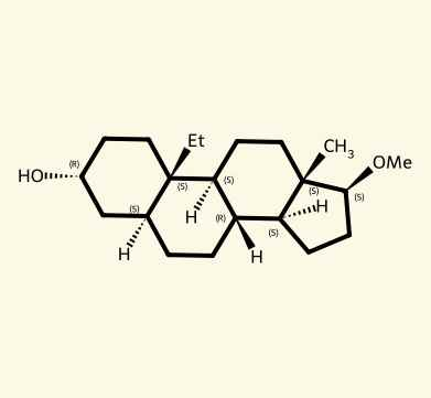 CC[C@]12CC[C@@H](O)C[C@@H]1CC[C@H]1[C@@H]3CC[C@H](OC)[C@@]3(C)CC[C@@H]12